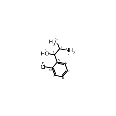 CC(N)C(O)c1ccccc1Cl